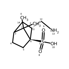 CC1(C)C2CC[C@@]1(S(=O)(=O)O)[C@@H](CN)C2